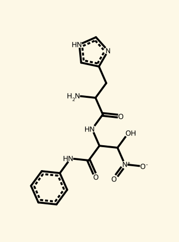 NC(Cc1c[nH]cn1)C(=O)NC(C(=O)Nc1ccccc1)C(O)[N+](=O)[O-]